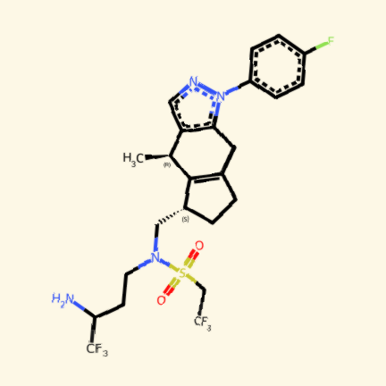 C[C@@H]1C2=C(CC[C@@H]2CN(CCC(N)C(F)(F)F)S(=O)(=O)CC(F)(F)F)Cc2c1cnn2-c1ccc(F)cc1